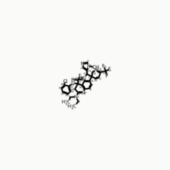 CCN(CC)C1=Nc2ccc(C3(C(O)c4cncn4C)C=CC(C(F)(F)F)=NC3)cc2C(Oc2ccccc2Cl)(C(F)(F)F)C1